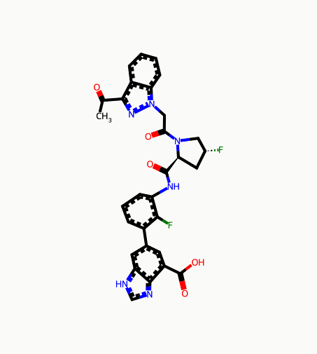 CC(=O)c1nn(CC(=O)N2C[C@H](F)C[C@H]2C(=O)Nc2cccc(-c3cc(C(=O)O)c4nc[nH]c4c3)c2F)c2ccccc12